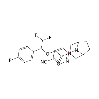 N#Cc1ccc(N2C3CCC2CN(C(=O)COC(c2ccc(F)cc2)C(F)F)C3)nc1